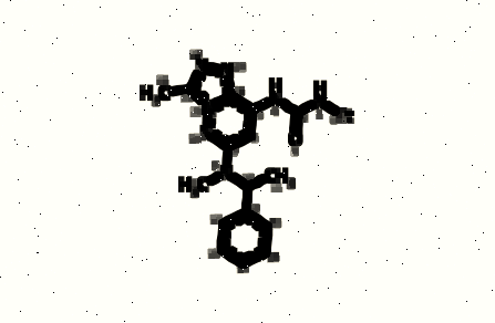 CCNC(=O)Nc1cc(N(C)C(C)c2ccccc2)nn2c(C)nnc12